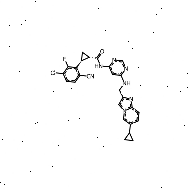 N#Cc1ccc(Cl)c(F)c1[C@H]1C[C@@H]1C(=O)Nc1cc(NCc2cn3cc(C4CC4)ccc3n2)ncn1